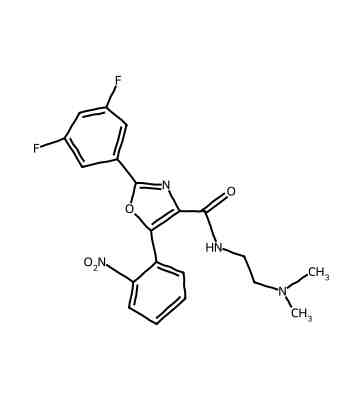 CN(C)CCNC(=O)c1nc(-c2cc(F)cc(F)c2)oc1-c1ccccc1[N+](=O)[O-]